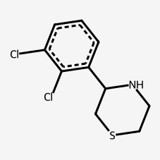 Clc1cccc(C2CSCCN2)c1Cl